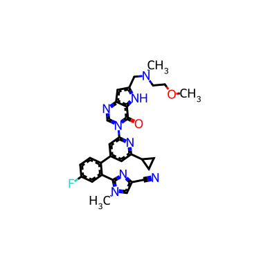 COCCN(C)Cc1cc2ncn(-c3cc(-c4ccc(F)cc4-c4nc(C#N)cn4C)cc(C4CC4)n3)c(=O)c2[nH]1